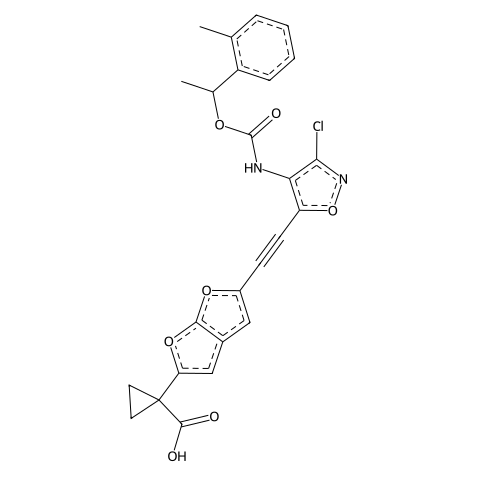 Cc1ccccc1C(C)OC(=O)Nc1c(Cl)noc1C#Cc1cc2cc(C3(C(=O)O)CC3)oc2o1